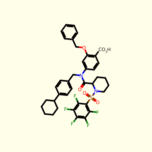 O=C(O)c1ccc(N(Cc2ccc(C3CCCCC3)cc2)C(=O)C2CCCCN2S(=O)(=O)c2c(F)c(F)c(F)c(F)c2F)cc1OCc1ccccc1